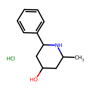 CC1CC(O)CC(c2ccccc2)N1.Cl